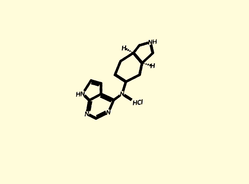 CN(c1ncnc2[nH]ccc12)C1CC[C@H]2CNC[C@H]2C1.Cl